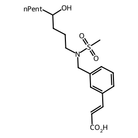 CCCCCC(O)CCCN(Cc1cccc(C=CC(=O)O)c1)S(C)(=O)=O